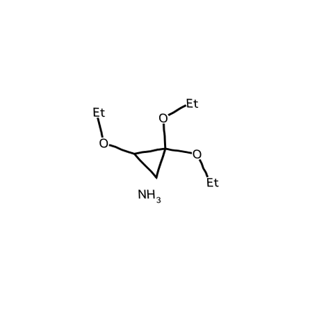 CCOC1CC1(OCC)OCC.N